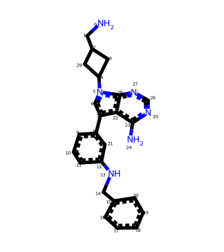 NCC1CC(n2cc(-c3cccc(NCc4ccccc4)c3)c3c(N)ncnc32)C1